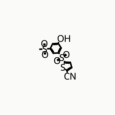 CS(=O)(=O)c1cc(O)cc(S(=O)(=O)c2ccc(C#N)s2)c1